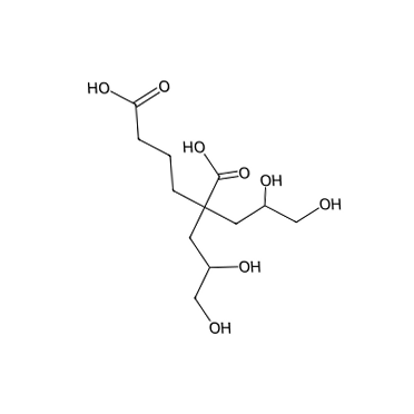 O=C(O)CCCC(CC(O)CO)(CC(O)CO)C(=O)O